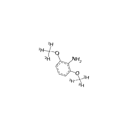 [2H]C([2H])([2H])Oc1cccc(OC([2H])([2H])[2H])c1N